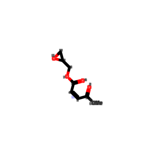 COC(=O)/C=C\C(=O)OCC1CO1